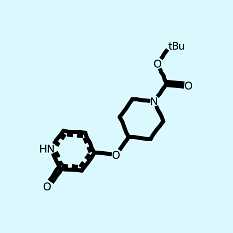 CC(C)(C)OC(=O)N1CCC(Oc2cc[nH]c(=O)c2)CC1